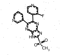 CS(=O)(=O)c1nc2nc(-c3ccncc3F)c(-c3cccnc3)nc2[nH]1